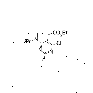 CCOC(=O)Cc1c(Cl)nc(Cl)nc1NC(C)C